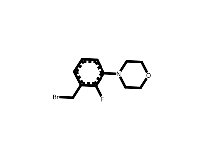 Fc1c(CBr)cccc1N1CCOCC1